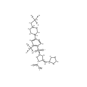 O=C(O)[C@@H]1C[C@@H](S(=O)(=O)c2ccc(N3CCN(CC(F)(F)F)CC3)cc2C(F)(F)F)C[C@H]1OC1CCCC1